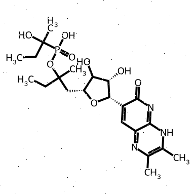 CCC(C)(C[C@H]1O[C@@H](c2cc3nc(C)c(C)[nH]c-3nc2=O)[C@@H](O)C1O)OP(=O)(O)C(C)(O)CC